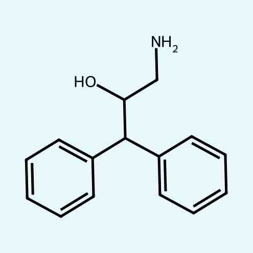 NCC(O)C(c1ccccc1)c1ccccc1